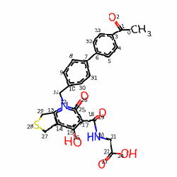 CC(=O)c1ccc(-c2ccc(Cn3c4c(c(O)c(C(=O)NCC(=O)O)c3=O)CSC4)cc2)cc1